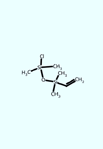 C=C[Si](C)(C)O[Si](C)(C)Cl